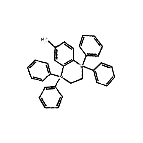 Cc1ccc2c(c1)[Si](c1ccccc1)(c1ccccc1)CC[Si]2(c1ccccc1)c1ccccc1